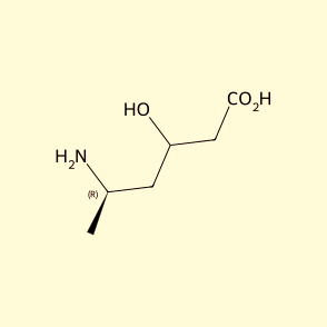 C[C@@H](N)CC(O)CC(=O)O